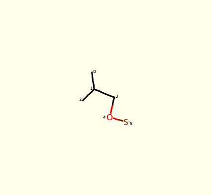 CC(C)CO[S]